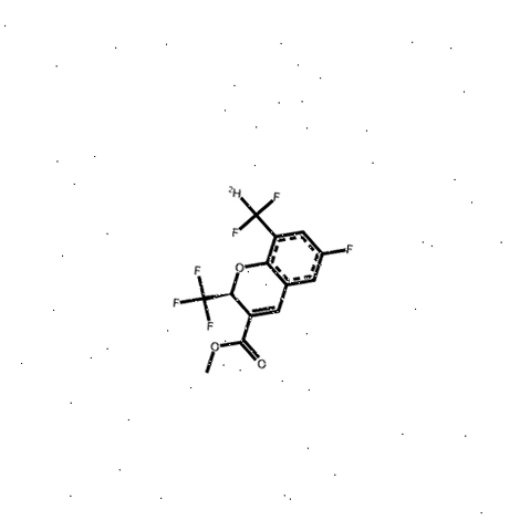 [2H]C(F)(F)c1cc(F)cc2c1O[C@H](C(F)(F)F)C(C(=O)OC)=C2